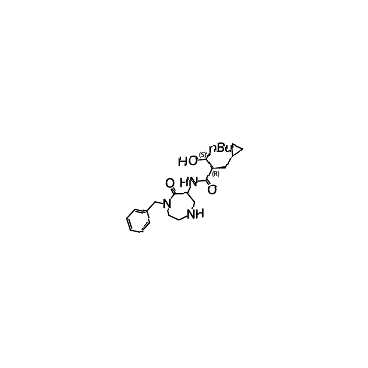 CCCC[C@H](O)[C@@H](CC1CC1)C(=O)NC1CNCCN(Cc2ccccc2)C1=O